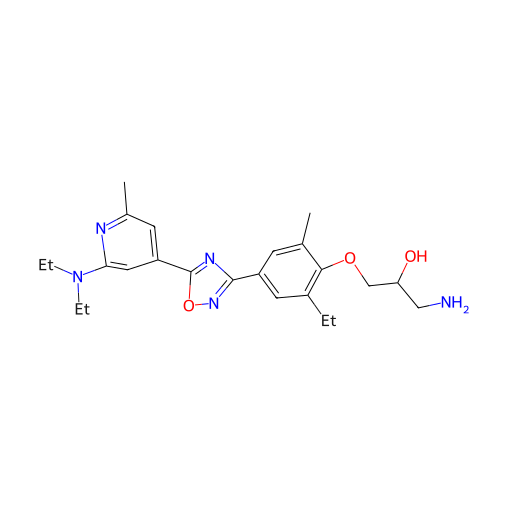 CCc1cc(-c2noc(-c3cc(C)nc(N(CC)CC)c3)n2)cc(C)c1OCC(O)CN